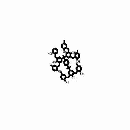 Cc1ccc(O)c(Cc2cc(C(C)(C)c3ccc(C(C)(c4cc(Cc5ccccc5O)c(O)c(Cc5cc(C)ccc5O)c4)c4cc(Cc5cc(C)ccc5O)c(O)c(Cc5cc(C)ccc5O)c4)cc3)cc(Cc3cc(C)ccc3O)c2O)c1